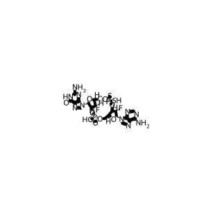 Nc1nc2c(ncn2[C@@H]2O[C@@H]3COP(=S)(S)O[C@H]4[C@H](F)[C@H](n5cnc6c(N)ncnc65)O[C@@H]4COP(=O)(O)O[C@@H]2[C@@H]3F)c(=O)[nH]1